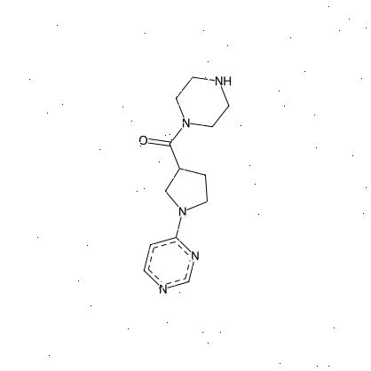 O=C(C1CCN(c2ccncn2)C1)N1CCNCC1